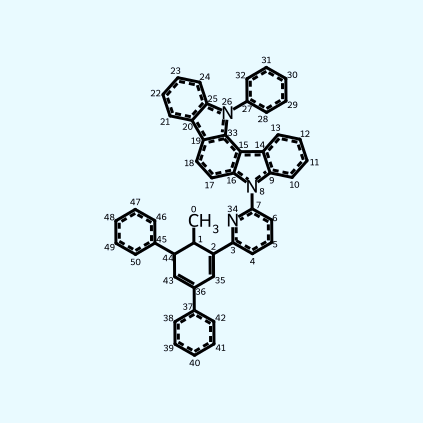 CC1C(c2cccc(-n3c4ccccc4c4c3ccc3c5ccccc5n(-c5ccccc5)c34)n2)=CC(c2ccccc2)=CC1c1ccccc1